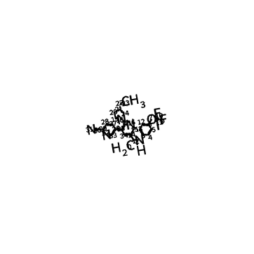 C=C(Nc1ccc(OC(F)(F)I)cc1)c1cnc(N2CC[C@H](CC)C2)c(-c2ccc(C#N)nc2)c1